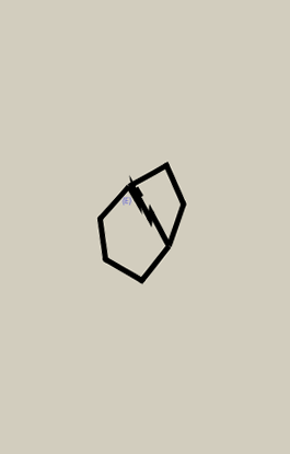 C1=C2\CCCC(CCC/1)CC2